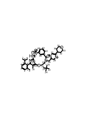 Cc1cccc(C(C)C)c1-c1nc2nc(c1C)OC[C@@H](CC(C)(C)C)N(Cc1cnc(C3CCOCC3)cn1)C(=O)c1cccc(c1)S(=O)(=O)N2